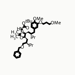 COCCCOc1cc(C[C@@H](C[C@H]2[C@@H](C[C@H](COCc3ccccc3)C(C)C)OC(C)(C)N2NC(=O)OC(C)(C)C)C(C)C)ccc1OC